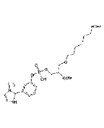 CCCCCCCCCCCCCCCCOCC(COP(=O)(O)Oc1cccc(C2NC=CN2C)c1)OC